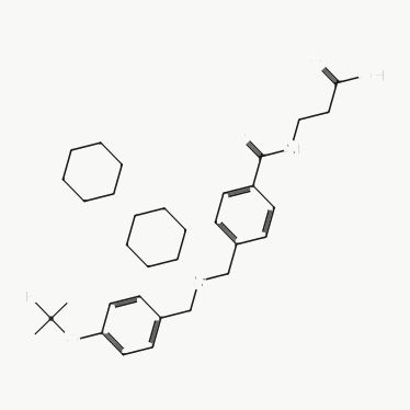 O=C(O)CCNC(=O)c1ccc(CN(Cc2ccc(OC(F)(F)F)cc2)[C@H]2CC[C@@H](C3CCCCC3)CC2)cc1